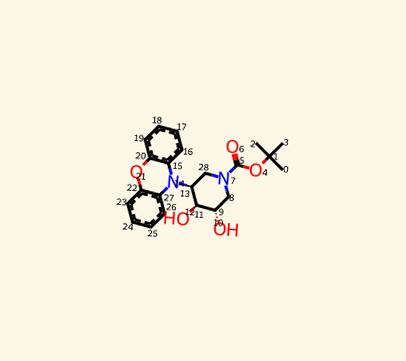 CC(C)(C)OC(=O)N1C[C@H](O)[C@@H](O)[C@@H](N2c3ccccc3Oc3ccccc32)C1